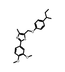 CCC(C)c1ccc(OCc2sc(-c3ccc(OC)c(OC)c3)nc2C)cc1